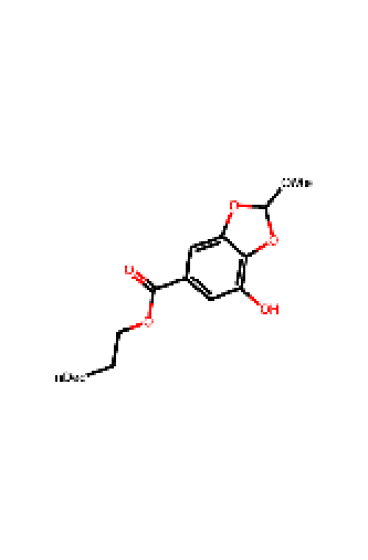 CCCCCCCCCCCCOC(=O)c1cc(O)c2c(c1)OC(OC)O2